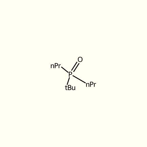 CCCP(=O)(CCC)C(C)(C)C